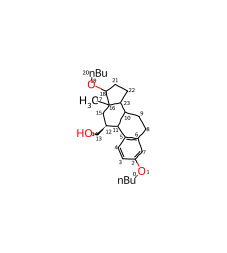 CCCCOc1ccc2c(c1)CCC1C2[C@@H](CO)CC2(C)C(OCCCC)CCC12